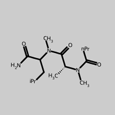 CCCC(=O)N(C)[C@H](C)C(=O)N(C)C(CC(C)C)C(N)=O